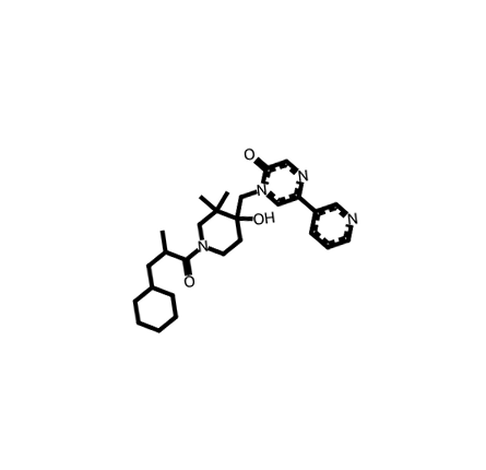 CC(CC1CCCCC1)C(=O)N1CCC(O)(Cn2cc(-c3cccnc3)ncc2=O)C(C)(C)C1